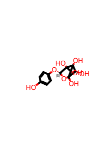 Oc1ccc(O[C@H]2OC3(O)[C@H](O)C4(O)C2(O)C34O)cc1